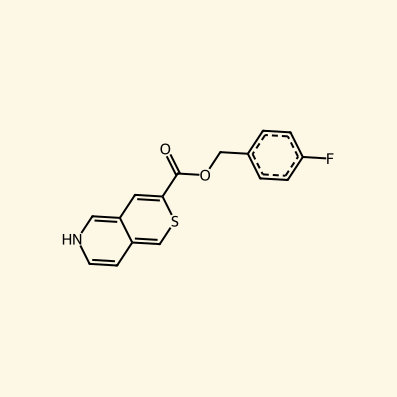 O=C(OCc1ccc(F)cc1)C1=CC2=CNC=CC2=CS1